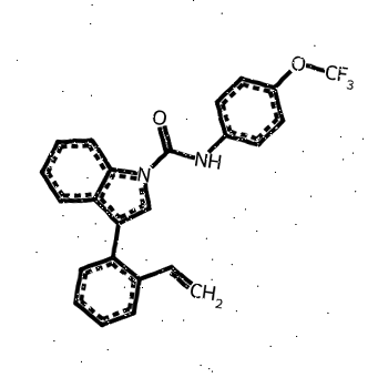 C=Cc1ccccc1-c1cn(C(=O)Nc2ccc(OC(F)(F)F)cc2)c2ccccc12